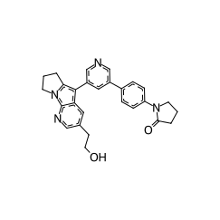 O=C1CCCN1c1ccc(-c2cncc(-c3c4n(c5ncc(CCO)cc35)CCC4)c2)cc1